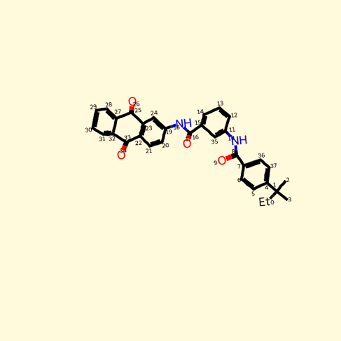 CCC(C)(C)c1ccc(C(=O)Nc2cccc(C(=O)Nc3ccc4c(c3)C(=O)c3ccccc3C4=O)c2)cc1